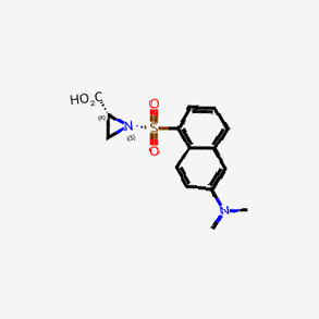 CN(C)c1ccc2c(S(=O)(=O)[N@]3C[C@@H]3C(=O)O)cccc2c1